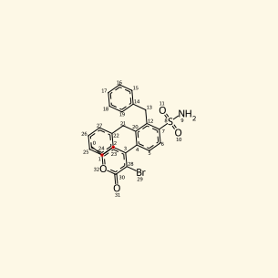 Cc1cc(-c2ccc(S(N)(=O)=O)c(Cc3ccccc3)c2Cc2ccccc2)c(Br)c(=O)o1